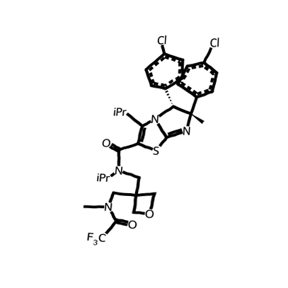 CC(C)C1=C(C(=O)N(CC2(CN(C)C(=O)C(F)(F)F)COC2)C(C)C)SC2=N[C@@](C)(c3ccc(Cl)cc3)[C@@H](c3ccc(Cl)cc3)N21